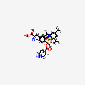 CC(C)c1cc(C(C)C)c(S(=O)(=O)C(C)(OC(=O)N2CCNCC2)c2ccc(C[C@H](N)C(=O)O)cc2C#N)c(C(C)C)c1